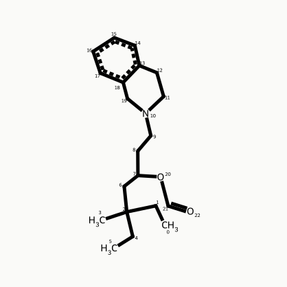 CCC(C)(CC)CC(CCN1CCc2ccccc2C1)OC=O